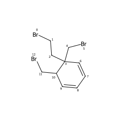 BrCCC1(CBr)C=CC=CC1CBr